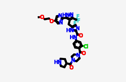 COCCOc1cnc(-c2[nH]nc(C(F)(F)F)c2Cc2cnc(C(=O)Nc3ccc(C(=O)N4CCN(C(=O)C5CCNCC5)CC4)c(Cl)c3)[nH]2)nc1